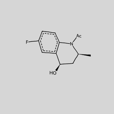 CC(=O)N1c2ccc(F)cc2[C@H](O)C[C@@H]1C